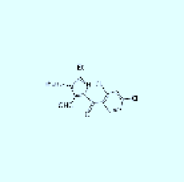 CCCC(C)n1c(CC)nc(C(=O)c2ccc(Cl)cc2Cl)c1C=O